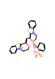 C(=C1OCC[n+]2c1sc1ccccc12)C1=C2Sc3ccccc3N2CCO1.Cc1ccccc1S(=O)(=O)[O-]